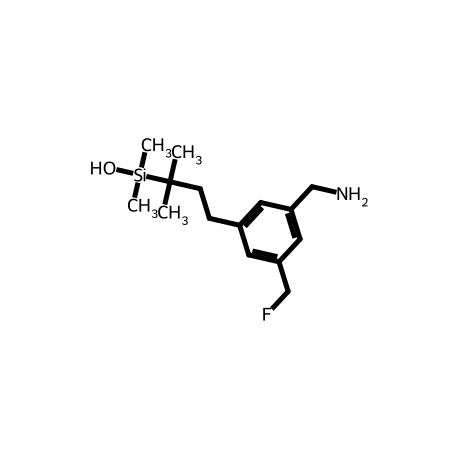 CC(C)(CCc1cc(CN)cc(CF)c1)[Si](C)(C)O